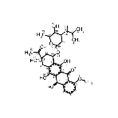 COc1cccc2c1C(=O)c1c(O)c3c(c(O)c1C2=O)C[C@@](O)(C(C)=O)CC3O[C@H]1CC(NC(C)C)C(O)C(C)O1